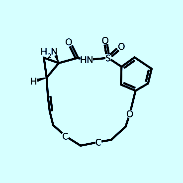 N[C@]12C[C@H]1/C=C\CCCCCCOc1cccc(c1)S(=O)(=O)NC2=O